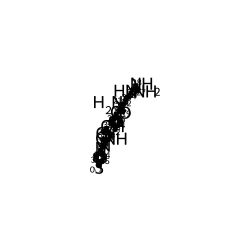 CSc1ccc(N=NC(=O)N[C@@H](Cc2ccc(OC(=O)[C@@H](N)CCCNC(=N)N)cc2)C(=O)O)cc1